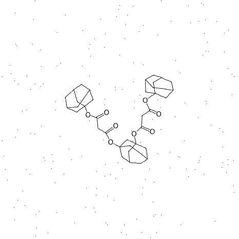 O=C(CC(=O)OC12CC3CC(C1)CC(OC(=O)CC(=O)OC14CC5CC(CC(C5)C1)C4)(C3)C2)OC12CC3CC(CC(C3)C1)C2